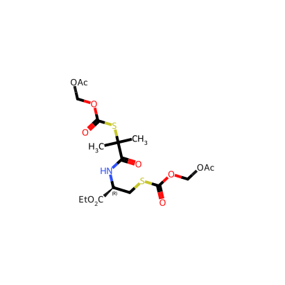 CCOC(=O)[C@H](CSC(=O)OCOC(C)=O)NC(=O)C(C)(C)SC(=O)OCOC(C)=O